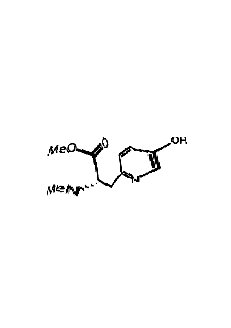 CN[C@@H](Cc1ccc(O)cn1)C(=O)OC